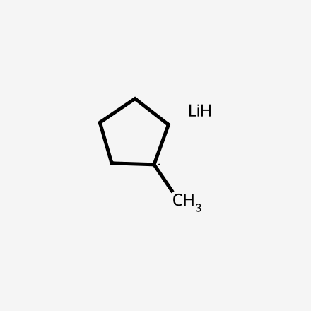 C[C]1CCCC1.[LiH]